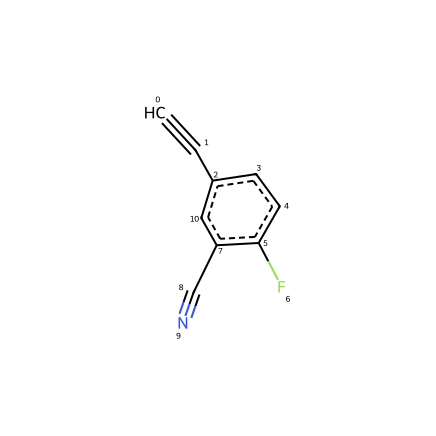 C#Cc1ccc(F)c(C#N)c1